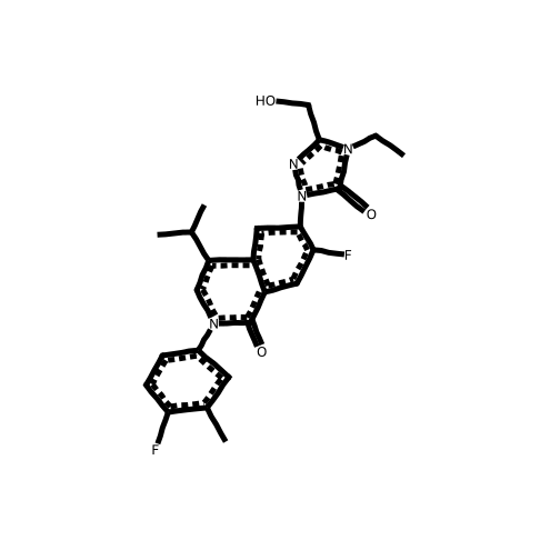 CCn1c(CO)nn(-c2cc3c(C(C)C)cn(-c4ccc(F)c(C)c4)c(=O)c3cc2F)c1=O